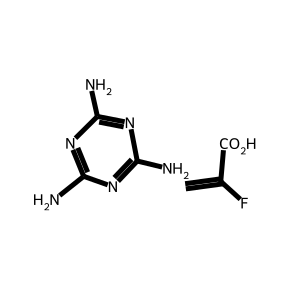 C=C(F)C(=O)O.Nc1nc(N)nc(N)n1